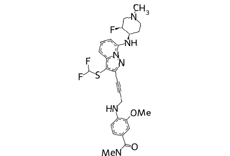 CNC(=O)c1ccc(NCC#Cc2nn3c(N[C@@H]4CCN(C)C[C@@H]4F)cccc3c2SC(F)F)c(OC)c1